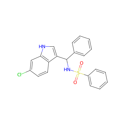 O=S(=O)(NC(c1ccccc1)c1c[nH]c2cc(Cl)ccc12)c1ccccc1